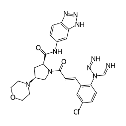 N=CN(N=N)c1ccc(Cl)cc1/C=C/C(=O)N1C[C@@H](N2CCOCC2)C[C@H]1C(=O)Nc1ccc2nn[nH]c2c1